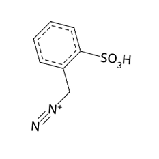 N#[N+]Cc1ccccc1S(=O)(=O)O